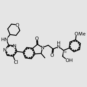 COc1cccc([C@@H](CO)NC(=O)CN2C(=O)c3cc(-c4nc(NC5CCOCC5)ncc4Cl)ccc3C2C)c1